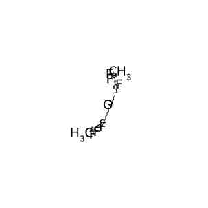 Cc1ccc(C#Cc2ccc(CCCCCCCC(=O)CCCCCCCc3ccc(C#Cc4ccc(C)c(F)c4F)c(F)c3)cc2F)c(F)c1F